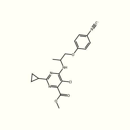 [C-]#[N+]c1ccc(OCC(C)Nc2nc(C3CC3)nc(C(=O)OC)c2Cl)cc1